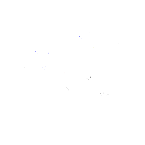 COc1cccc([C@@H]2O[C@@H](CCc3ncc(CC(=O)O)s3)c3nnc(C4CC4)n3-c3ccc(Cl)cc32)c1OC